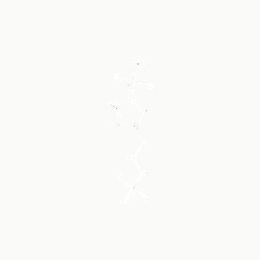 CC(C)(C)COCn1cc(C(C)(C)O)nn1